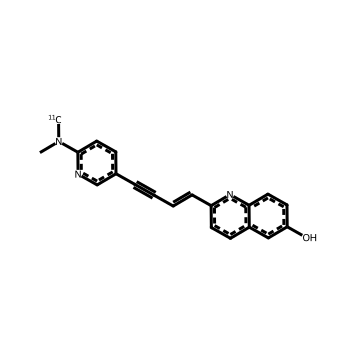 CN([11CH3])c1ccc(C#C/C=C/c2ccc3cc(O)ccc3n2)cn1